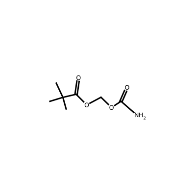 CC(C)(C)C(=O)OCOC(N)=O